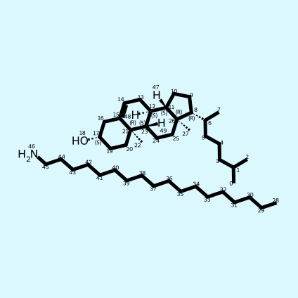 CC(C)CCCC(C)[C@H]1CC[C@H]2[C@@H]3CC=C4C[C@@H](O)CC[C@]4(C)[C@H]3CC[C@]12C.CCCCCCCCCCCCCCCCCCN